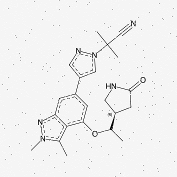 Cc1c2c(OC(C)[C@H]3CNC(=O)C3)cc(-c3cnn(C(C)(C)C#N)c3)cc2nn1C